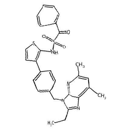 CCc1nc2c(C)cc(C)nc2n1Cc1ccc(-c2ccsc2NS(=O)(=O)C(=O)c2ccccc2)cc1